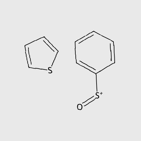 O=[S+]c1ccccc1.c1ccsc1